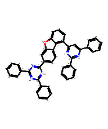 c1ccc(-c2cc(-c3cccc4oc5cc(-c6nc(-c7ccccc7)nc(-c7ccccc7)n6)ccc5c34)nc(-c3ccccc3)n2)cc1